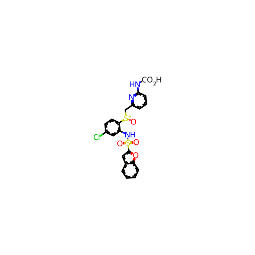 O=C(O)Nc1cccc(C[S+]([O-])c2ccc(Cl)cc2NS(=O)(=O)c2cc3ccccc3o2)n1